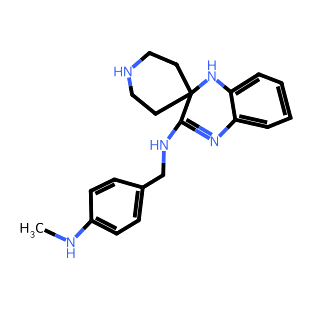 CNc1ccc(CNC2=Nc3ccccc3NC23CCNCC3)cc1